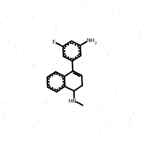 CNC1CC=C(c2cc(N)cc(F)c2)c2ccccc21